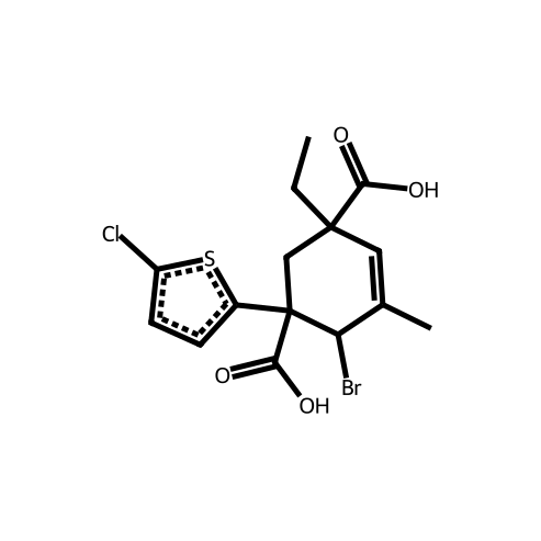 CCC1(C(=O)O)C=C(C)C(Br)C(C(=O)O)(c2ccc(Cl)s2)C1